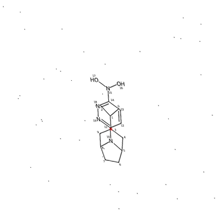 CC(C)C1CC2CCC(C1)N2c1ccc(N(O)O)nn1